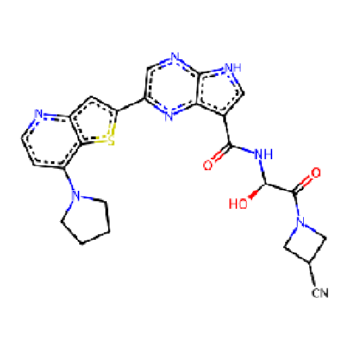 N#CC1CN(C(=O)[C@@H](O)NC(=O)c2c[nH]c3ncc(-c4cc5nccc(N6CCCC6)c5s4)nc23)C1